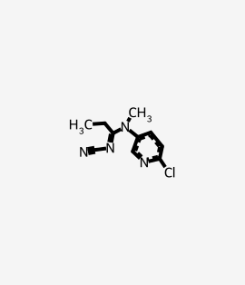 CCC(=NC#N)N(C)c1ccc(Cl)nc1